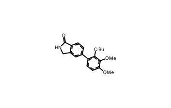 COc1ccc(-c2ccc3c(c2)CNC3=O)c(OCC(C)C)c1OC